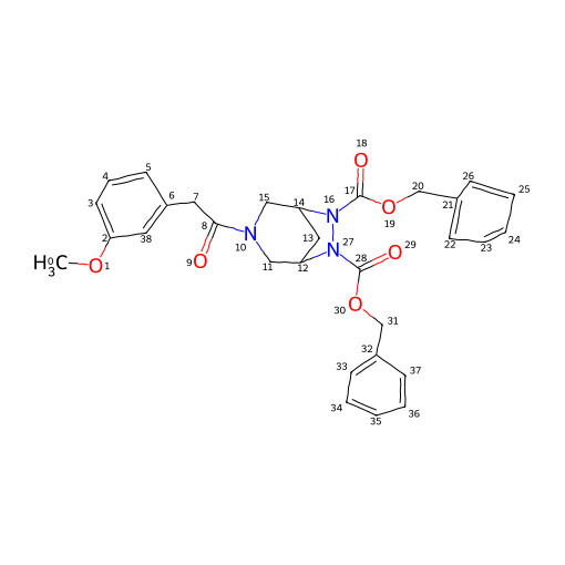 COc1cccc(CC(=O)N2CC3CC(C2)N(C(=O)OCc2ccccc2)N3C(=O)OCc2ccccc2)c1